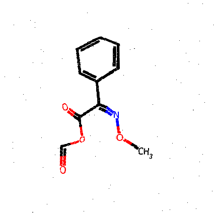 CON=C(C(=O)OC=O)c1ccccc1